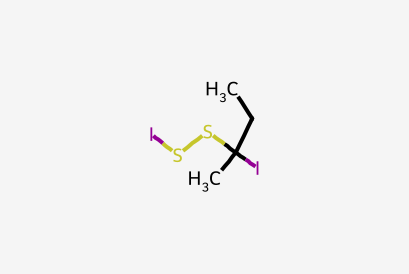 CCC(C)(I)SSI